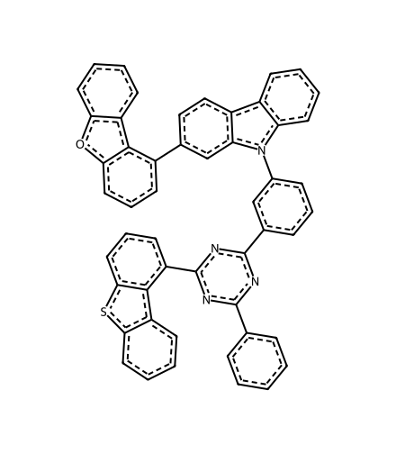 c1ccc(-c2nc(-c3cccc(-n4c5ccccc5c5ccc(-c6cccc7oc8ccccc8c67)cc54)c3)nc(-c3cccc4sc5ccccc5c34)n2)cc1